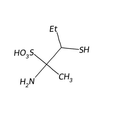 CCC(S)C(C)(N)S(=O)(=O)O